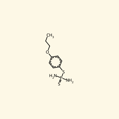 CCCOc1ccc(SP(N)(N)=S)cc1